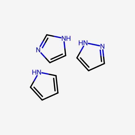 c1c[nH]cn1.c1cc[nH]c1.c1cn[nH]c1